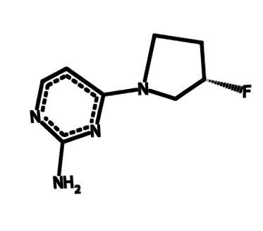 Nc1nccc(N2CC[C@H](F)C2)n1